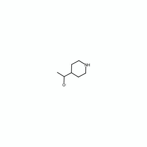 CC([O])C1CCNCC1